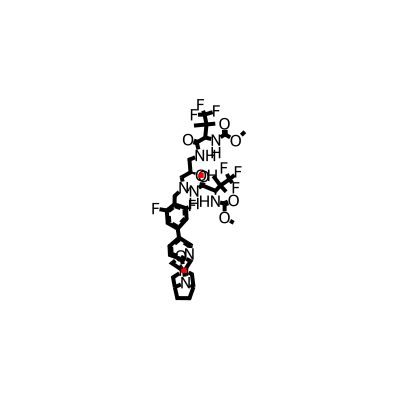 COC(=O)NC(C(=O)NC[C@@H](O)CN(Cc1c(F)cc(-c2ccc(N3CC4CCC(C3)N4C3COC3)nc2)cc1F)NC(=O)[C@@H](NC(=O)OC)C(C)(C)C(F)(F)F)C(C)(C)C(F)(F)F